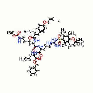 C=CCOc1ccc(C[C@H](NC(C)=O)C(=O)N[C@H](CCCCNC(=O)OC(C)(C)C)C(=O)N[C@H](CCCNC(=N)NS(=O)(=O)c2c(C)c(C)c3c(c2C)CCC(C)(C)O3)C(=O)N[C@@H](CC=C)C(=O)OCc2ccccc2)cc1